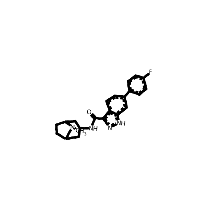 CN1C2CCC1CC(NC(=O)c1n[nH]c3cc(-c4ccc(F)cc4)ccc13)C2